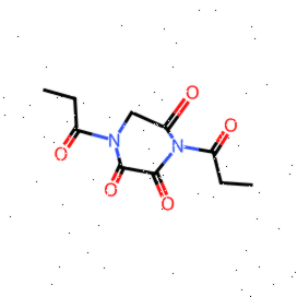 CCC(=O)N1CC(=O)N(C(=O)CC)C(=O)C1=O